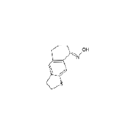 O/N=C1\CCCc2cc3c(cc21)SCC3